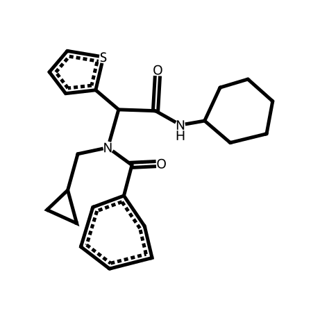 O=C(NC1CCCCC1)C(c1cccs1)N(CC1CC1)C(=O)c1ccccc1